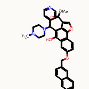 COC(=O)c1coc2c1c(C(c1ccncc1)N1CCN(C)CC1)c(O)c1cc(OCc3ccc4ccccc4c3)ccc12